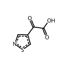 O=C(O)C(=O)c1cnsc1